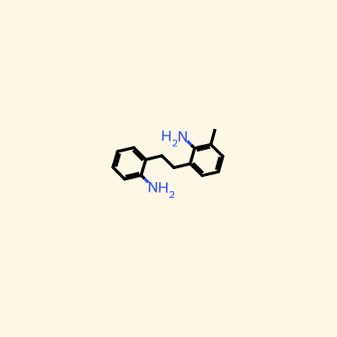 Cc1cccc(CCc2ccccc2N)c1N